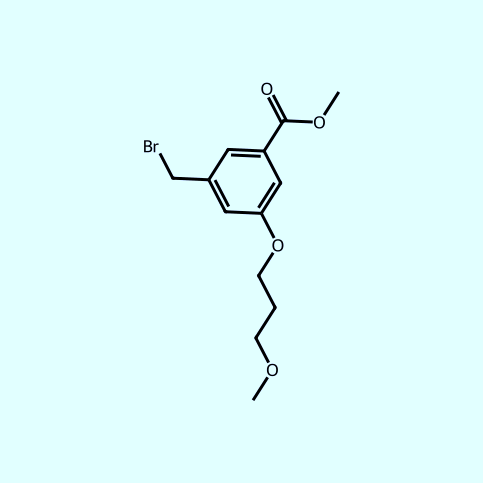 COCCCOc1cc(CBr)cc(C(=O)OC)c1